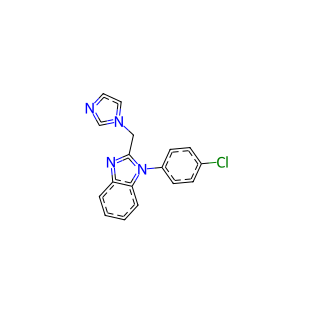 Clc1ccc(-n2c(Cn3ccnc3)nc3ccccc32)cc1